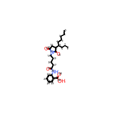 CCCCCC(CCC)C1CC(=O)N(CCCCC(=O)Nc2ccccc2C(=O)O)C1=O